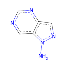 Nn1ncc2ncncc21